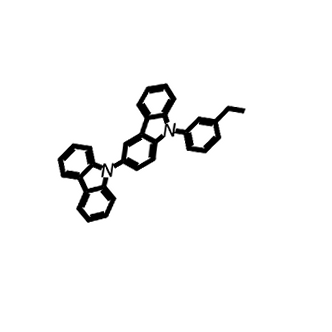 CCc1cccc(-n2c3ccccc3c3cc(-n4c5ccccc5c5ccccc54)ccc32)c1